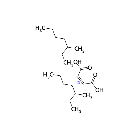 CCCCC(C)CC.CCCCC(C)CC.O=C(O)/C=C\C(=O)O